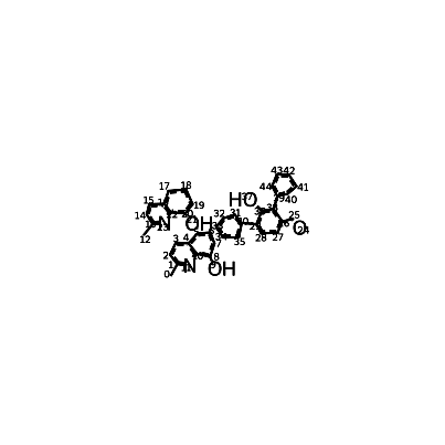 Cc1ccc2cccc(O)c2n1.Cc1ccc2cccc(O)c2n1.O=Cc1ccc(-c2ccccc2)c(O)c1-c1ccccc1